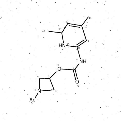 CC(=O)N1CC(OC(=O)NC2=CC(C)=CC(I)N2)C1